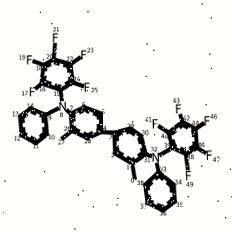 Cc1cc(-c2ccc(N(c3ccccc3)c3c(F)c(F)c(F)c(F)c3F)c(C)c2)ccc1N(c1ccccc1)c1c(F)c(F)c(F)c(F)c1F